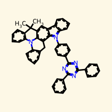 CC1(C)c2ccccc2N2c3ccccc3Cc3c2c1cc1c2ccccc2n(-c2ccc(-c4nc(-c5ccccc5)nc(-c5ccccc5)n4)cc2)c31